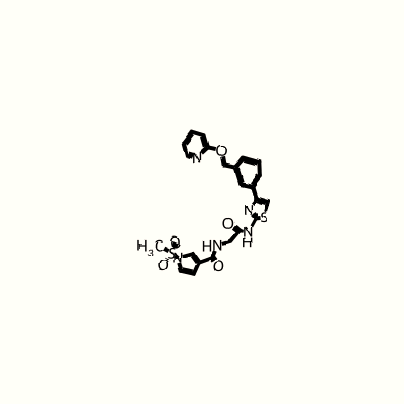 CS(=O)(=O)n1ccc(C(=O)NCC(=O)Nc2nc(-c3cccc(COc4ccccn4)c3)cs2)c1